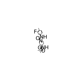 Cc1ccc(NC(=O)N2CCC(NS(=O)(=O)C(C)C)CC2)cc1F